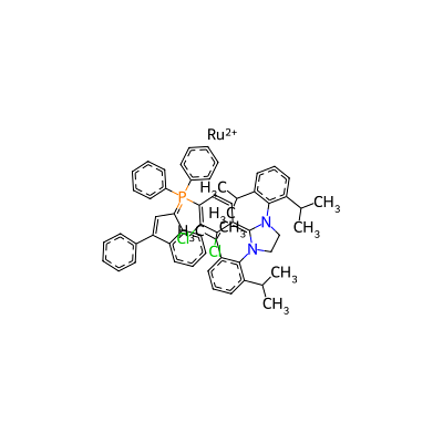 CC(C)c1cccc(C(C)C)c1N1CCN(c2c(C(C)C)cccc2C(C)C)C1=C1C=CC(P(=C2C=C(c3ccccc3)c3ccccc32)(c2ccccc2)c2ccccc2)=C(Cl)C1Cl.[Ru+2]